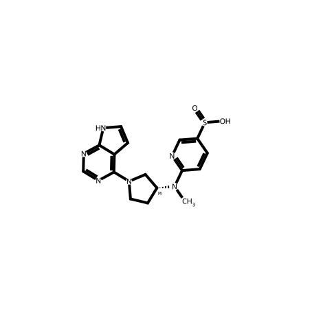 CN(c1ccc(S(=O)O)cn1)[C@@H]1CCN(c2ncnc3[nH]ccc23)C1